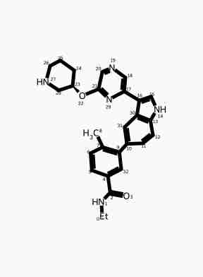 CCNC(=O)c1ccc(C)c(-c2ccc3[nH]cc(-c4cncc(O[C@@H]5CCCNC5)n4)c3c2)c1